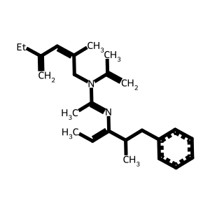 C=C(/C=C(/C)CN(C(=C)C)/C(C)=N/C(=C\C)C(C)Cc1ccccc1)CC